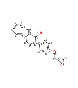 O=C1C2=Cc3ccccc3C2=CC=C1c1ccc(OCC2CO2)cc1